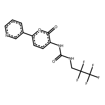 O=C(NCC(F)(F)C(F)(F)F)Nc1ccc(-c2cccnc2)oc1=O